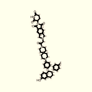 O=C1CCC(N2C(=O)c3cc4c(cc3C2=O)CN(CC(=O)N2CCC3(CC2)CCN(c2ccc([C@H]5c6ccc(O)cc6CC[C@H]5c5ccc(F)cc5)cc2)CC3)C4)C(=O)N1